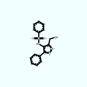 O=S(=O)(Nc1c(CO)noc1-c1ccccc1)c1ccccc1